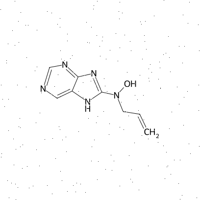 C=CCN(O)c1nc2ncncc2[nH]1